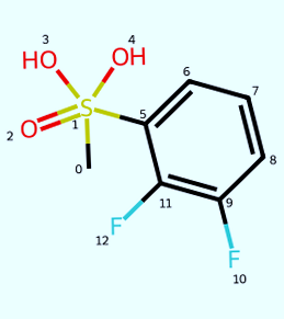 CS(=O)(O)(O)c1cccc(F)c1F